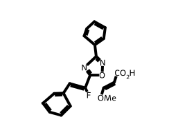 COC=CC(=O)O.FC(=Cc1ccccc1)c1nc(-c2ccccc2)no1